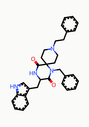 O=C1C(Cc2c[nH]c3ccccc23)NC(=O)C2(CCN(CCc3ccccc3)CC2)N1Cc1ccccc1